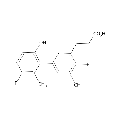 Cc1cc(-c2c(O)ccc(F)c2C)cc(CCC(=O)O)c1F